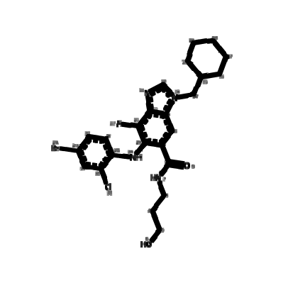 O=C(NCCCO)c1cc2c(ncn2CC2CCCCC2)c(F)c1Nc1ccc(Br)cc1Cl